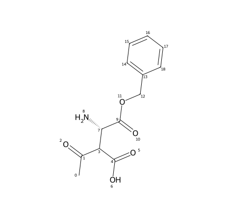 CC(=O)C(C(=O)O)[C@H](N)C(=O)OCc1ccccc1